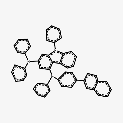 c1ccc(N(c2ccccc2)c2cc(N(c3ccccc3)c3ccc(-c4ccc5ccccc5c4)cc3)c3c4ccccc4n(-c4ccccc4)c3c2)cc1